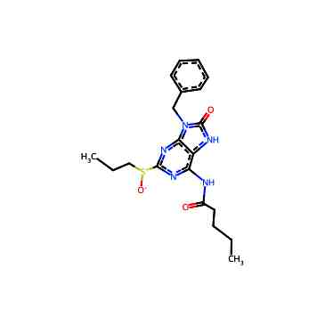 CCCCC(=O)Nc1nc([S+]([O-])CCC)nc2c1[nH]c(=O)n2Cc1ccccc1